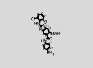 Bc1ccc(NC(=O)c2cc3nc(Nc4c(Cl)cccc4Cl)[nH]c3cc2OC)cc1